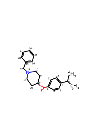 CC(C)c1ccc(OC2CCN(Cc3ccccc3)CC2)cc1